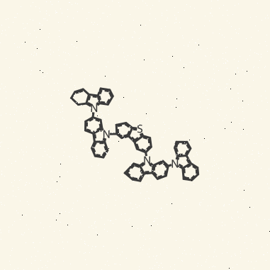 C1=Cc2c(n(-c3ccc4c5ccccc5n(-c5ccc6sc7ccc(-n8c9ccccc9c9ccc(-n%10c%11ccccc%11c%11ccccc%11%10)cc98)cc7c6c5)c4c3)c3ccccc23)CC1